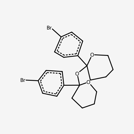 Brc1ccc(C2(OC3(c4ccc(Br)cc4)CCCCO3)CCCCO2)cc1